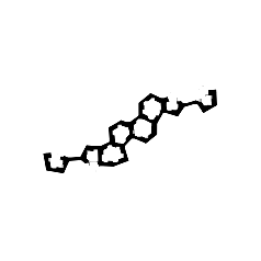 c1csc(-c2cc3c(ccc4c3ccc3c5ccc6sc(-c7cccs7)cc6c5ccc43)s2)c1